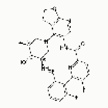 C[C@H]1CN(c2c(NC(=O)c3ccc(F)c(-c4c(F)cccc4F)n3)cnc3c2CCO3)C[C@@H](N)[C@@H]1O